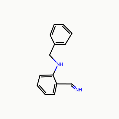 N=Cc1ccccc1NCc1ccccc1